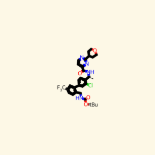 C[C@@H](NC(=O)c1ccnc(C2CCOCC2)n1)c1ccc(-c2cc(C(F)(F)F)ccc2CNC(=O)OC(C)(C)C)cc1Cl